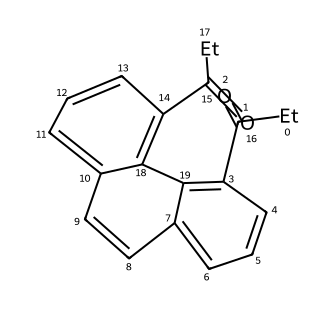 CCC(=O)c1cccc2ccc3cccc(C(=O)CC)c3c12